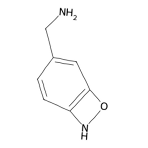 NCc1ccc2[nH]oc2c1